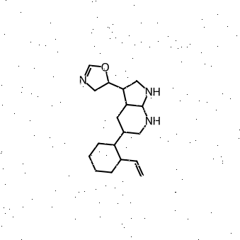 C=CC1CCCCC1C1CNC2NCC(C3CN=CO3)C2C1